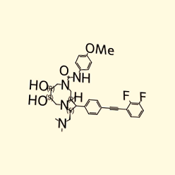 COc1ccc(NC(=O)N2C[C@@H](O)[C@@H](O)CN3[C@H](CN(C)C)C(c4ccc(C#Cc5cccc(F)c5F)cc4)[C@@H]3C2)cc1